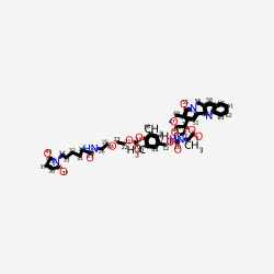 CC[C@@]1(OC(=O)C(C)NC(=O)OCc2cc(C)c(OC(=O)OCCOCCNC(=O)CCCCCN3C(=O)C=CC3=O)c(C)c2)C(=O)OCc2c1cc1n(c2=O)Cc2cc3ccccc3nc2-1